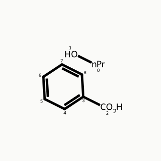 CCCO.O=C(O)c1ccccc1